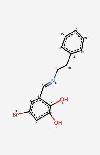 Oc1cc(Br)cc(C=NCCc2ccccc2)c1O